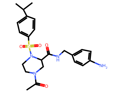 CC(=O)N1CCN(S(=O)(=O)c2ccc(C(C)C)cc2)C(C(=O)NCc2ccc(N)cc2)C1